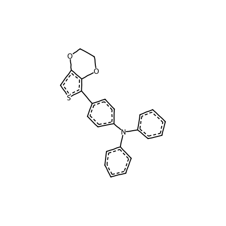 c1ccc(N(c2ccccc2)c2ccc(-c3scc4c3OCCO4)cc2)cc1